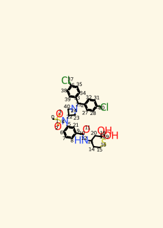 CS(=O)(=O)N(c1cccc(C(=O)NC2CCSC(O)(O)C2)c1)C1CN(C(c2ccc(Cl)cc2)c2ccc(Cl)cc2)C1